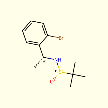 C[C@@H](N[S@@+]([O-])C(C)(C)C)c1ccccc1Br